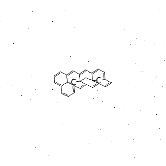 C1=CC2=CC=CC3=CC4=CC5=CC=C6C=CC7=CC8=CC(=C1)C23CC48CC57C6